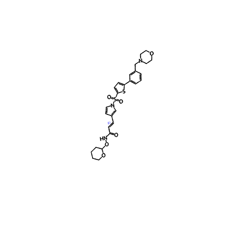 O=C(/C=C/c1ccn(S(=O)(=O)c2ccc(-c3cccc(CN4CCOCC4)c3)s2)c1)NOC1CCCCO1